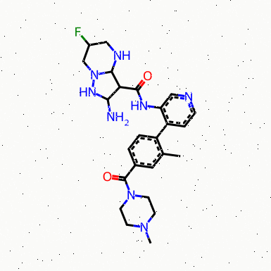 Cc1cc(C(=O)N2CCN(C)CC2)ccc1-c1ccncc1NC(=O)C1C(N)NN2CC(F)CNC12